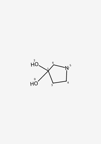 OC1(O)CC[N]C1